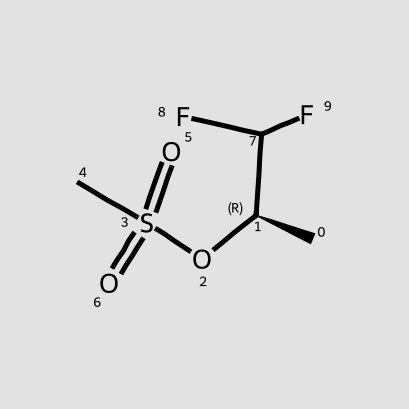 C[C@@H](OS(C)(=O)=O)C(F)F